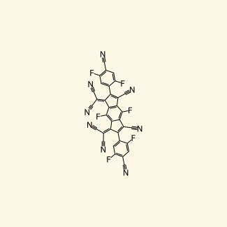 N#CC(C#N)=C1C(c2cc(F)c(C#N)cc2F)=C(C#N)c2c(F)c3c(c(F)c21)C(=C(C#N)C#N)C(c1cc(F)c(C#N)cc1F)=C3C#N